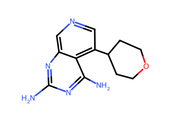 Nc1nc(N)c2c(C3CCOCC3)cncc2n1